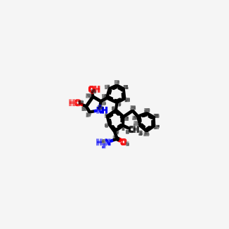 Cc1c(C(N)=O)ccc(-c2ccccc2C2NCC(O)C2O)c1Cc1ccccc1